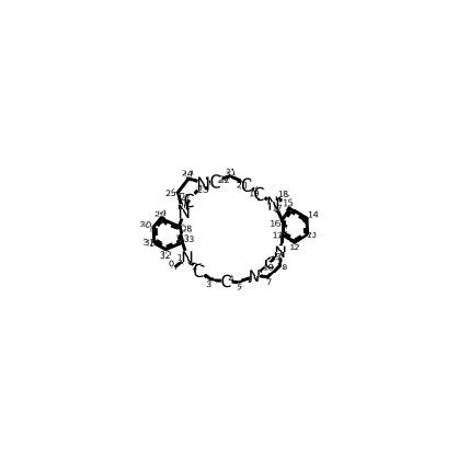 CN1CCCCN2CCN(C2)c2ccccc2N(C)CCCCN2CCN(C2)c2ccccc21